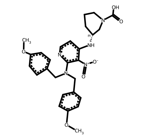 COc1ccc(CN(Cc2ccc(OC)cc2)c2nccc(N[C@@H]3CCCN(C(=O)O)C3)c2[N+](=O)[O-])cc1